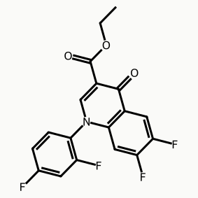 CCOC(=O)c1cn(-c2ccc(F)cc2F)c2cc(F)c(F)cc2c1=O